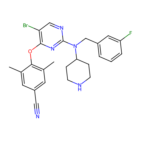 Cc1cc(C#N)cc(C)c1Oc1nc(N(Cc2cccc(F)c2)C2CCNCC2)ncc1Br